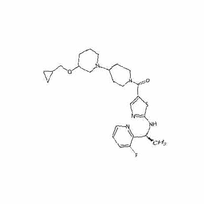 C[C@H](Nc1ncc(C(=O)N2CCC(N3CCCC(OCC4CC4)C3)CC2)s1)c1ncccc1F